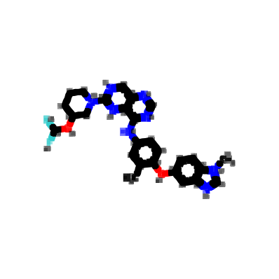 Cc1cc(Nc2ncnc3cnc(N4CCCC(OC(F)F)C4)nc23)ccc1Oc1ccc2c(c1)ncn2C